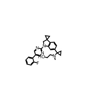 CN(CCO)C1(c2ccc3c(c2)N(c2ncc(-c4ccccc4F)cn2)CC32CC2)CC1